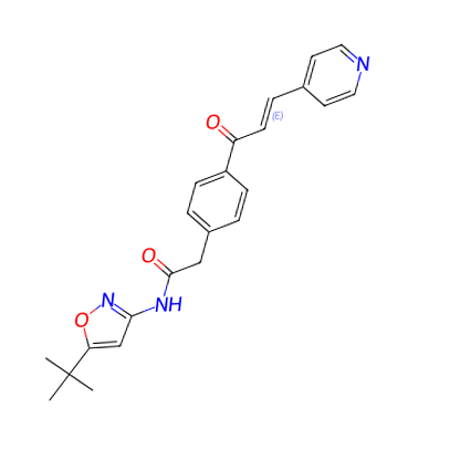 CC(C)(C)c1cc(NC(=O)Cc2ccc(C(=O)/C=C/c3ccncc3)cc2)no1